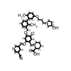 Cc1ccc(OCCCN2CCC(O)C2)cc1-c1cccc(COc2cc(OCc3cncc(C#N)c3)c(CN3CCCCC3C(=O)O)cc2Cl)c1C